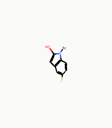 CC(=O)n1c(O)cc2cc(F)ccc21